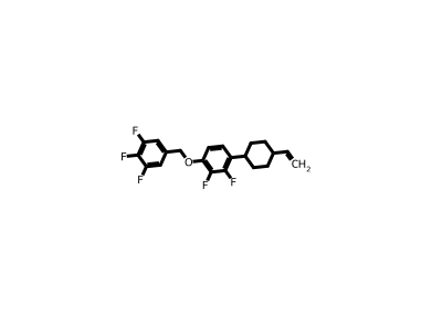 C=CC1CCC(c2ccc(OCc3cc(F)c(F)c(F)c3)c(F)c2F)CC1